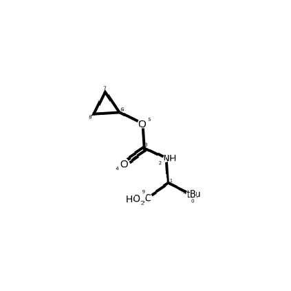 CC(C)(C)C(NC(=O)OC1CC1)C(=O)O